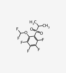 CC(C)S(=O)(=O)c1c(F)c(F)c(F)c(F)c1OC(F)F